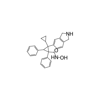 O=C(NO)C1(c2ccccc2)C(c2ccccc2)C1(c1ccc2c(c1)CNC2)C1CC1